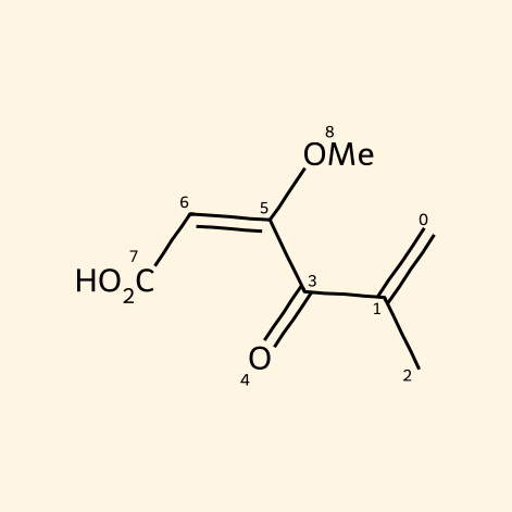 C=C(C)C(=O)/C(=C\C(=O)O)OC